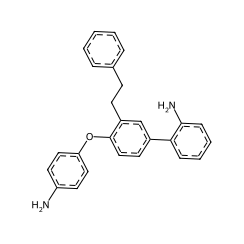 Nc1ccc(Oc2ccc(-c3ccccc3N)cc2CCc2ccccc2)cc1